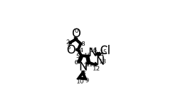 O=C1COC(c2cn(C3CC3)c3cnc(Cl)nc23)C1